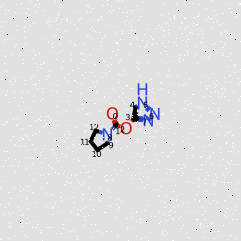 O=C(Oc1c[nH]nn1)N1CCCC1